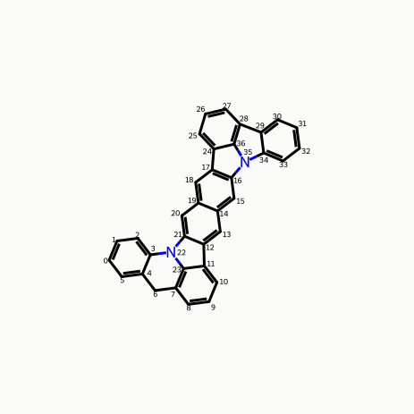 c1ccc2c(c1)Cc1cccc3c4cc5cc6c(cc5cc4n-2c13)c1cccc2c3ccccc3n6c21